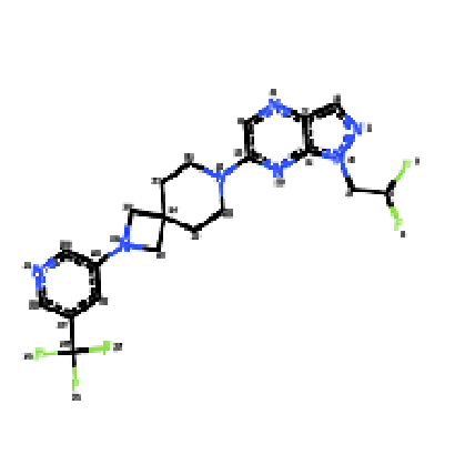 FC(F)Cn1ncc2ncc(N3CCC4(CC3)CN(c3cncc(C(F)(F)F)c3)C4)nc21